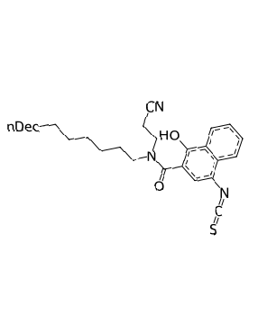 CCCCCCCCCCCCCCCCN(CCC#N)C(=O)c1cc(N=C=S)c2ccccc2c1O